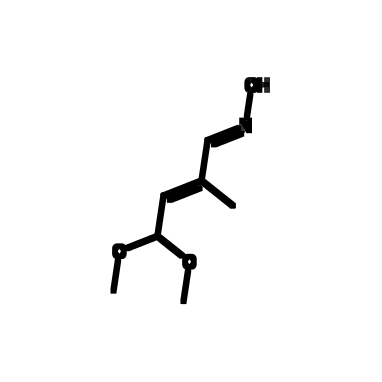 COC(/C=C(C)/C=N/O)OC